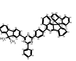 CC1(C)c2ccccc2-c2ccc(-c3nc(-c4ccccc4)nc(-c4ccc(-c5nc6c(c7ccccc57)C5(c7ccccc7-c7ccccc75)c5ccccc5-6)cc4)n3)cc21